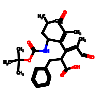 C/C(C=O)=C(\C(=C(/C)C=O)C(Cc1ccccc1)C(=O)O)C(CC(C)C)NC(=O)OC(C)(C)C